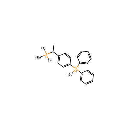 CCCC[PH](c1ccccc1)(c1ccccc1)c1ccc(C(C)[PH](CC)(CC)CCCC)cc1